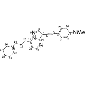 CNC1C=CC(C#CC2C=NN3C(CCCN4CCCCC4)=CC=NC23)=CC1